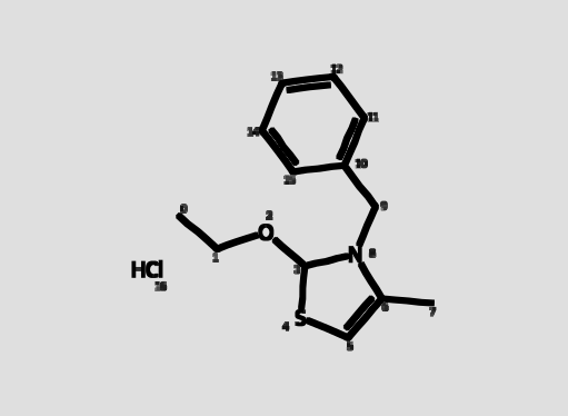 CCOC1SC=C(C)N1Cc1ccccc1.Cl